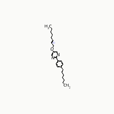 CCCCC/C=C/COc1cnc(-c2ccc(CCCCCCC)cc2)nc1